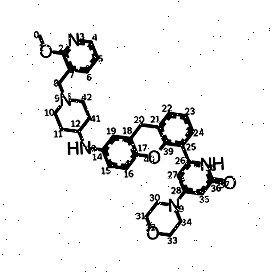 COc1ncccc1CN1CCC(Nc2ccc3c(c2)Cc2cccc(-c4cc(N5CCOCC5)cc(=O)[nH]4)c2O3)CC1